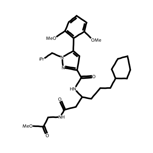 COC(=O)CNC(=O)CC(CCCC1CCCCC1)NC(=O)c1cc(-c2c(OC)cccc2OC)n(CC(C)C)n1